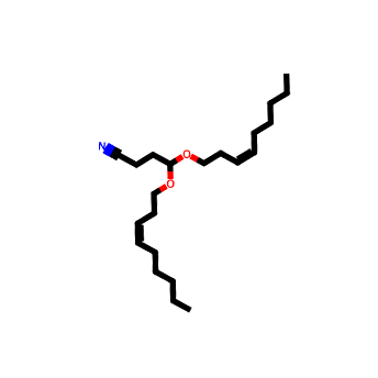 CCCCC/C=C\CCOC(CCC#N)OCC/C=C\CCCCC